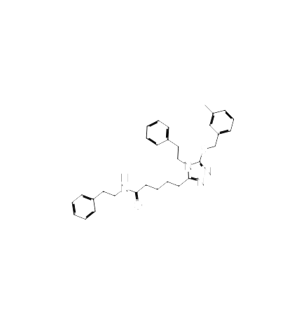 Cc1cccc(CSc2nnc(CCCCC(=O)NCCc3ccccc3)n2CCc2ccccc2)c1